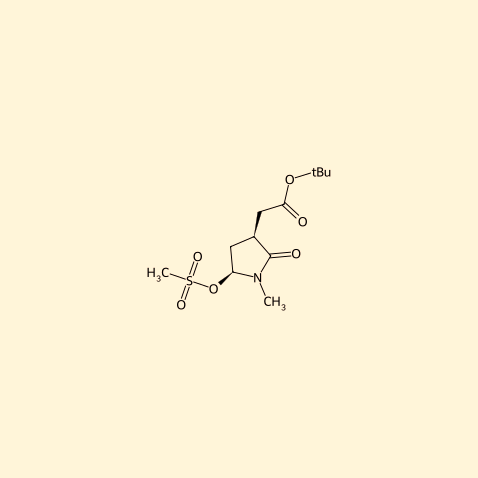 CN1C(=O)[C@H](CC(=O)OC(C)(C)C)C[C@@H]1OS(C)(=O)=O